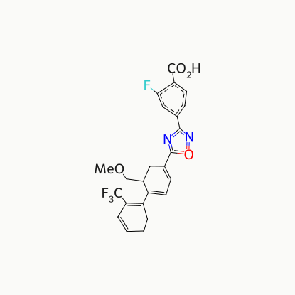 COCC1CC(c2nc(-c3ccc(C(=O)O)c(F)c3)no2)=CC=C1C1=C(C(F)(F)F)C=CCC1